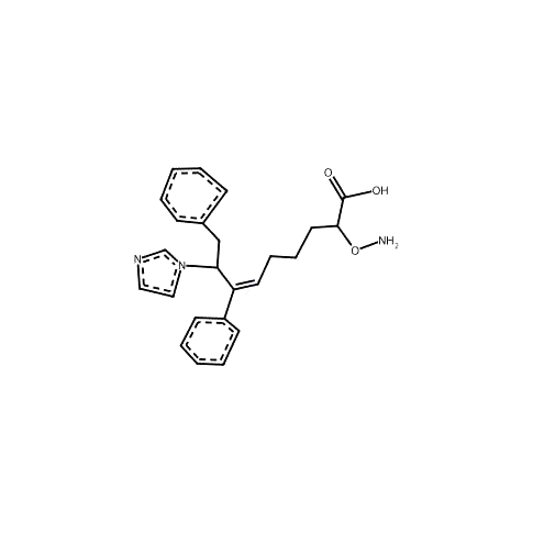 NOC(CCC/C=C(/c1ccccc1)C(Cc1ccccc1)n1ccnc1)C(=O)O